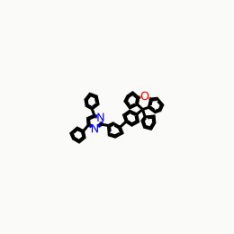 c1ccc(-c2cc(-c3ccccc3)nc(-c3cccc(-c4ccc(C5(c6ccccc6)c6ccccc6Oc6ccccc65)cc4)c3)n2)cc1